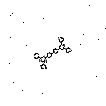 c1ccc(-c2nc(-c3ccccc3)nc(-c3ccc(-c4ccc(-c5cc(-c6cccnc6)nc(-c6cccnc6)c5)cc4)cc3)n2)cc1